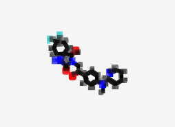 CN(c1ccc(C(=O)CN2C(=O)NC3(CCC(F)(F)CC3)C2=O)cc1)c1ccccn1